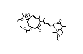 CCOC(C)OC1CCC(C)(OC(C)OCC)C(O)/C=C/C(C)C(/C(C)=C/C=C/C(C)CC2OC2C(C)C(CC)OC(C)OCC)OC(=O)C1